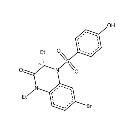 CC[C@H]1C(=O)N(CC)c2ccc(Br)cc2N1S(=O)(=O)c1ccc(O)cc1